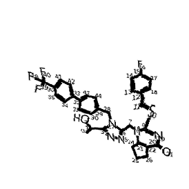 CC(O)c1nnc(Cn2c(SCc3ccc(F)cc3)nc(=O)c3c2CCC3)n1Cc1ccc(-c2ccc(C(F)(F)F)cc2)cc1